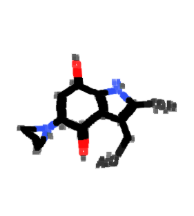 CCOC(=O)c1[nH]c2c(c1COC(C)=O)C(=O)C(N1CC1)=CC2=O